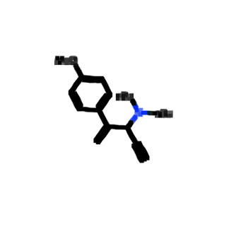 C#CC(C(=C)c1ccc(OC)cc1)N(CCCC)CCCC